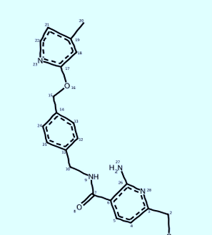 COCc1ccc(C(=O)NCc2ccc(COc3cc(C)ccn3)cc2)c(N)n1